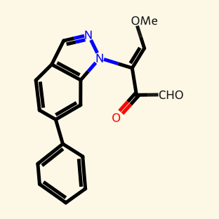 CO/C=C(/C(=O)C=O)n1ncc2ccc(-c3ccccc3)cc21